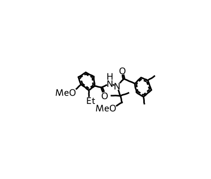 CCc1c(OC)cccc1C(=O)NN(C(=O)c1cc(C)cc(C)c1)C(C)(C)COC